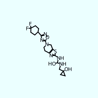 OC(NCC1(O)CC1)Nc1nc2c(s1)CN(c1nc(C3CCC(F)(F)CC3)no1)CC2